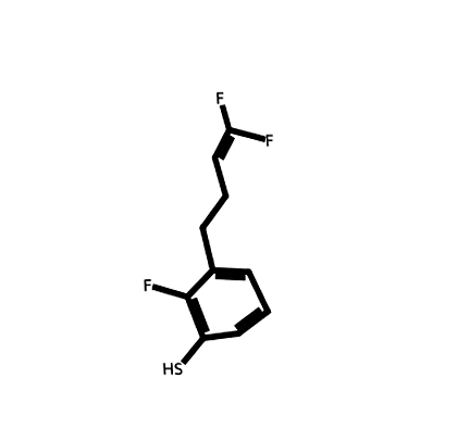 FC(F)=CCCc1cccc(S)c1F